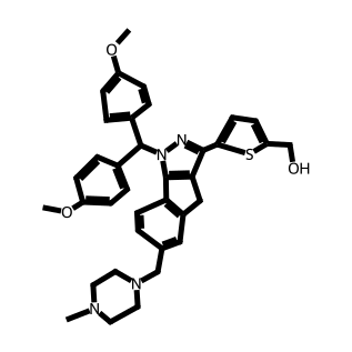 COc1ccc(C(c2ccc(OC)cc2)n2nc(-c3ccc(CO)s3)c3c2-c2ccc(CN4CCN(C)CC4)cc2C3)cc1